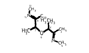 C/N=C(\C)C(C)OC(C)/C(C)=N/C